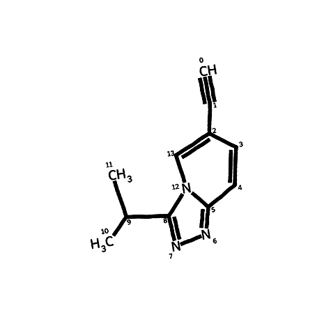 C#Cc1ccc2nnc(C(C)C)n2c1